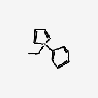 CC[Si]1(c2ccccc2)C=CC=C1